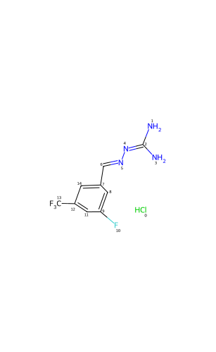 Cl.NC(N)=NN=Cc1cc(F)cc(C(F)(F)F)c1